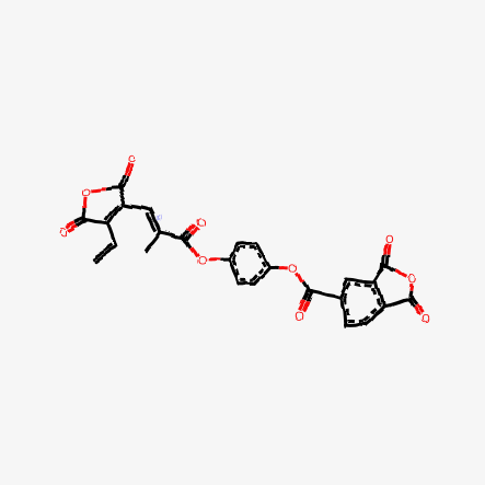 C=CC1=C(/C=C(\C)C(=O)Oc2ccc(OC(=O)c3ccc4c(c3)C(=O)OC4=O)cc2)C(=O)OC1=O